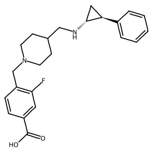 O=C(O)c1ccc(CN2CCC(CN[C@@H]3C[C@H]3c3ccccc3)CC2)c(F)c1